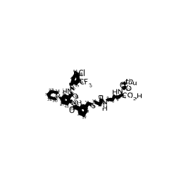 CC(C)(C)OC(=O)N[C@@H](CCCCNC(=O)CCSCc1cccc(C(=O)Nc2ccc(N3CCCCC3)cc2C(=O)NN=Cc2ccc(Cl)c(C(F)(F)F)c2)c1)C(=O)O